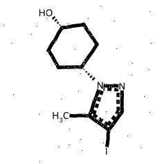 Cc1c(I)cnn1[C@H]1CC[C@@H](O)CC1